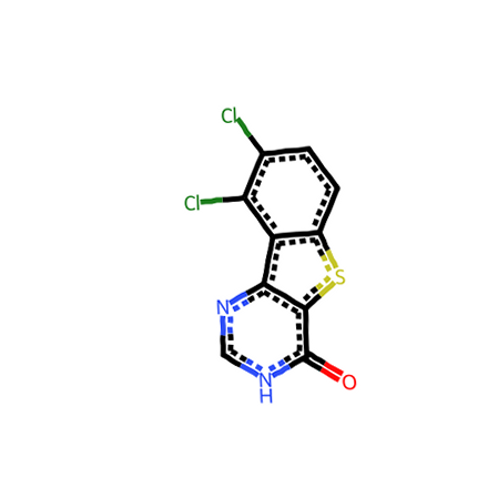 O=c1[nH]cnc2c1sc1ccc(Cl)c(Cl)c12